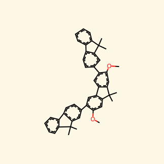 COc1cc2c(cc1-c1ccc3c(c1)C(C)(C)c1ccccc1-3)-c1cc(-c3ccc4c(c3)C(C)(C)c3ccccc3-4)c(OC)cc1C2(C)C